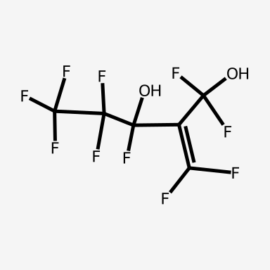 OC(F)(F)C(=C(F)F)C(O)(F)C(F)(F)C(F)(F)F